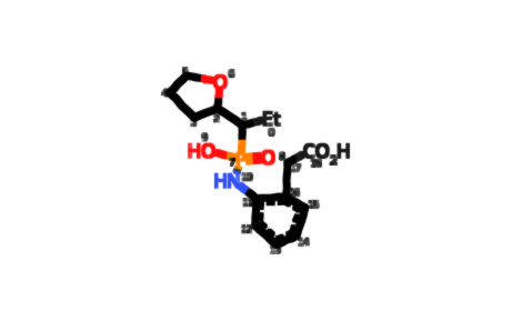 CCC(C1CCCO1)P(=O)(O)Nc1ccccc1CC(=O)O